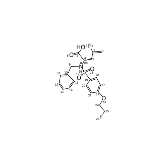 C=C(F)C[C@H](C(=O)O)N(Cc1ccccc1)S(=O)(=O)c1ccc(OCCF)cc1